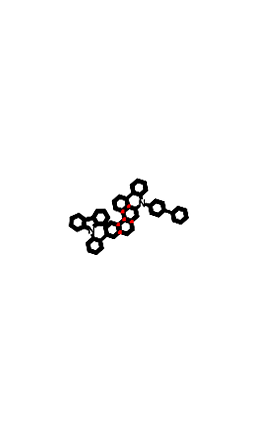 c1ccc(-c2ccc(N(c3ccc(-c4ccc(-c5ccccc5-n5c6ccccc6c6ccccc65)cc4)cc3)c3ccccc3-c3cccc(-c4ccccc4)c3)cc2)cc1